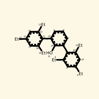 CCc1cc(CC)c(-c2cccc(-c3c(CC)cc(CC)cc3CC)c2O)c(CC)c1